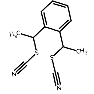 CC(SC#N)c1ccccc1C(C)SC#N